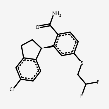 NC(=O)c1ccc(SCC(F)F)cc1[C@@H]1CCc2cc(Cl)ccc21